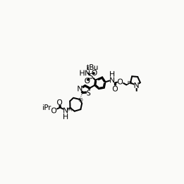 CC(C)OC(=O)N[C@@H]1CCC[C@@H](c2ncc(-c3ccc(NC(=O)OC[C@H]4CCCN4C)cc3S(=O)(=O)NC(C)(C)C)s2)CC1